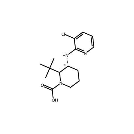 CC(C)(C)C1[C@H](Nc2ncccc2Cl)CCCN1C(=O)O